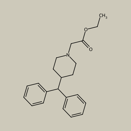 CCOC(=O)CN1CCC(C(c2ccccc2)c2ccccc2)CC1